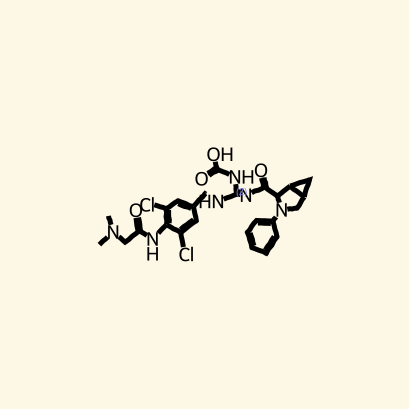 CN(C)CC(=O)Nc1c(Cl)cc(CN/C(=N/C(=O)C2C3CC3CN2c2ccccc2)NC(=O)O)cc1Cl